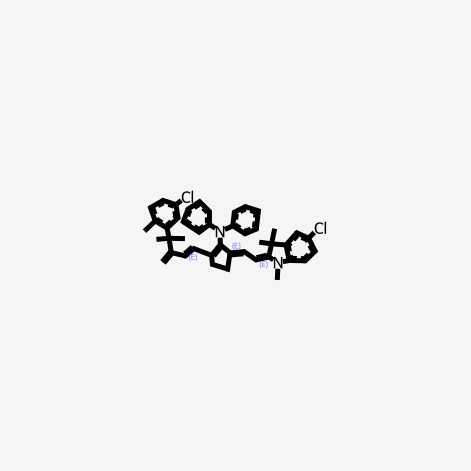 C=C(/C=C/C1=C(N(c2ccccc2)c2ccccc2)C(=C/C=C2/N(C)c3ccc(Cl)cc3C2(C)C)/CC1)C(C)(C)c1cc(Cl)ccc1C